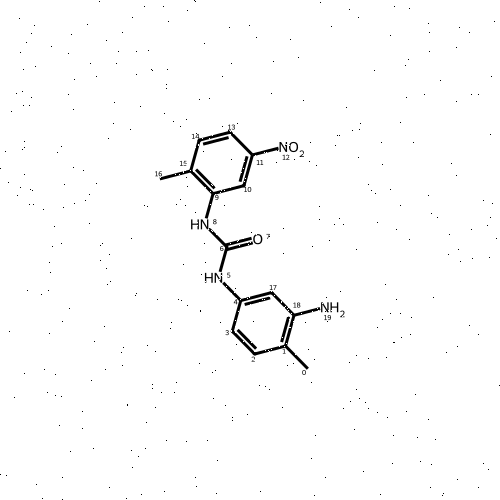 Cc1ccc(NC(=O)Nc2cc([N+](=O)[O-])ccc2C)cc1N